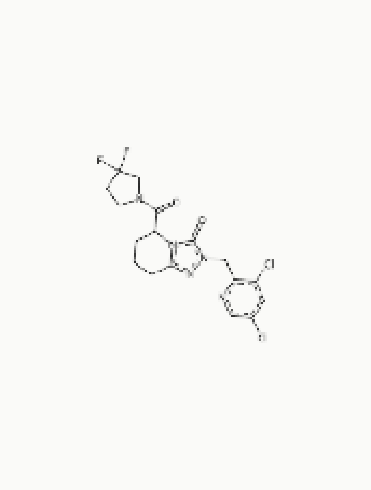 O=C(C1CCCc2nn(Cc3ncc(Cl)cc3Cl)c(=O)n21)N1CCC(F)(F)C1